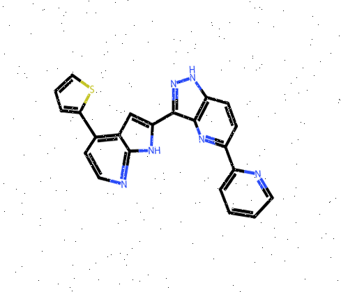 c1ccc(-c2ccc3[nH]nc(-c4cc5c(-c6cccs6)ccnc5[nH]4)c3n2)nc1